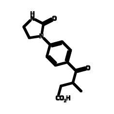 CC(CC(=O)O)C(=O)c1ccc(N2CCNC2=O)cc1